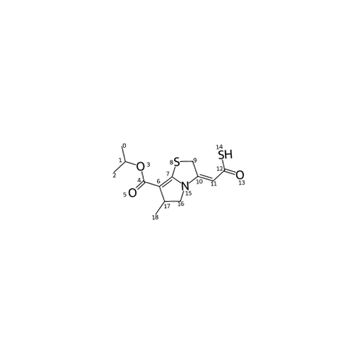 CC(C)OC(=O)C1=C2SC/C(=C\C(=O)S)N2CC1C